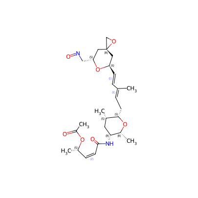 CC(=O)O[C@@H](C)/C=C\C(=O)N[C@@H]1C[C@H](C)[C@H](C/C=C(C)/C=C/[C@@H]2C[C@]3(CO3)C[C@@H](CN=O)O2)O[C@@H]1C